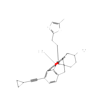 COC1CCC2(CC1)Cc1ccc(C#CC3CC3)cc1C21N=C(N)N(CCc2ncc(C)o2)C1=O